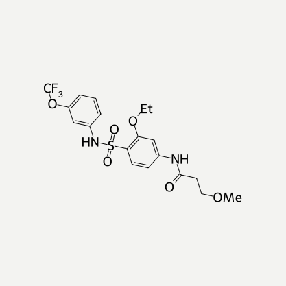 CCOc1cc(NC(=O)CCOC)ccc1S(=O)(=O)Nc1cccc(OC(F)(F)F)c1